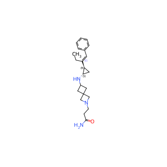 CC/C(=C\c1ccccc1)[C@H]1C[C@@H]1NC1CC2(C1)CN(CCC(N)=O)C2